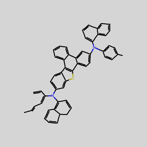 C=C/C(=C\C=C\C)N(C1=C2C=CC=CC2CC=C1)c1ccc2c(c1)sc1c3ccc(N(c4ccc(C)cc4)c4cccc5ccccc45)cc3c3ccccc3c21